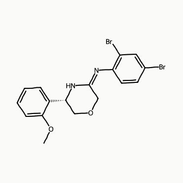 COc1ccccc1[C@H]1COCC(=Nc2ccc(Br)cc2Br)N1